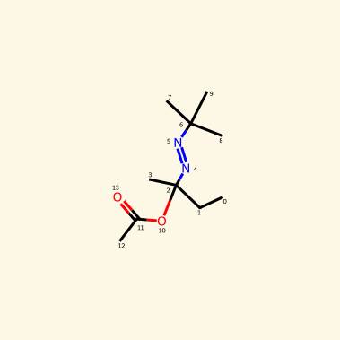 CCC(C)(N=NC(C)(C)C)OC(C)=O